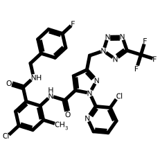 Cc1cc(Cl)cc(C(=O)NCc2ccc(F)cc2)c1NC(=O)c1cc(Cn2nnc(C(F)(F)F)n2)nn1-c1ncccc1Cl